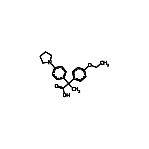 CCOc1ccc(C(C)(C(=O)O)c2ccc(N3CCCC3)cc2)cc1